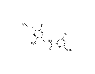 CC(=O)Nc1cc(C(=O)NCc2cc(F)c(OCC(F)(F)F)nc2C)cc(C)n1